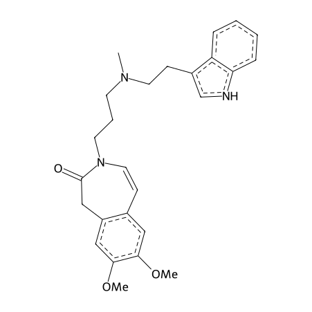 COc1cc2c(cc1OC)CC(=O)N(CCCN(C)CCc1c[nH]c3ccccc13)C=C2